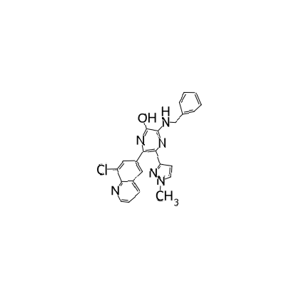 Cn1ccc(-c2nc(NCc3ccccc3)c(O)nc2-c2cc(Cl)c3ncccc3c2)n1